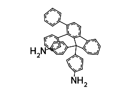 Nc1ccc(C2(c3ccc(N)cc3)c3ccccc3-c3ccc(-c4ccccc4)c(-c4ccccc4)c32)cc1